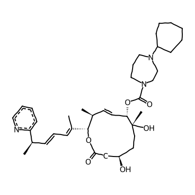 C/C(=C\C=C\[C@@H](C)c1ccccn1)[C@H]1OC(=O)C[C@H](O)CC[C@@](C)(O)[C@@H](OC(=O)N2CCCN(C3CCCCCC3)CC2)/C=C/[C@@H]1C